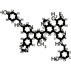 Cc1cc(-c2ncc(NCc3cccc(O)c3)cc2-c2cc(-c3cc(-c4ncc(NCc5ccc(O)cc5)cc4-c4ccc5ncsc5c4)cc(C)c3F)c3ncsc3c2)ccc1F